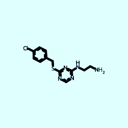 NCCNc1ncnc(SCc2ccc(Cl)cc2)n1